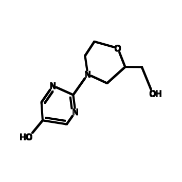 OCC1CN(c2ncc(O)cn2)CCO1